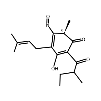 CCC(C)C(=O)C1=C(O)C(CC=C(C)C)=C(N=O)[C@@H](C)C1=O